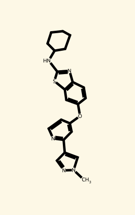 Cn1cc(-c2cc(Oc3ccc4nc(NC5CCCCC5)sc4c3)ccn2)cn1